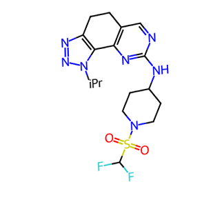 CC(C)n1nnc2c1-c1nc(NC3CCN(S(=O)(=O)C(F)F)CC3)ncc1CC2